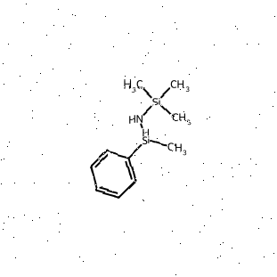 C[SiH](N[Si](C)(C)C)c1ccccc1